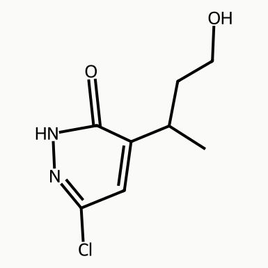 CC(CCO)c1cc(Cl)n[nH]c1=O